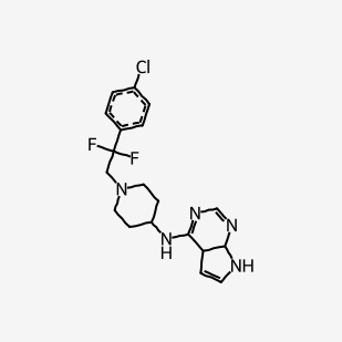 FC(F)(CN1CCC(NC2=NC=NC3NC=CC23)CC1)c1ccc(Cl)cc1